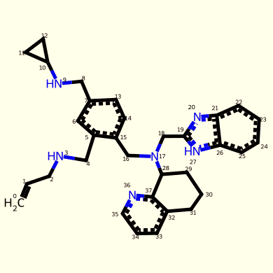 C=CCNCc1cc(CNC2CC2)ccc1CN(Cc1nc2ccccc2[nH]1)C1CCCc2cccnc21